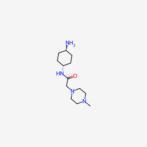 CN1CCN(CC(=O)N[C@H]2CC[C@H](N)CC2)CC1